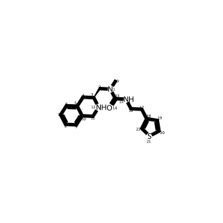 CN(C[C@@H]1Cc2ccccc2CN1)C(=O)NCCc1ccsc1